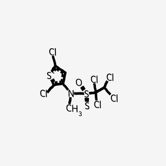 CN(c1cc(Cl)sc1Cl)S(=O)(=S)C(Cl)(Cl)C(Cl)Cl